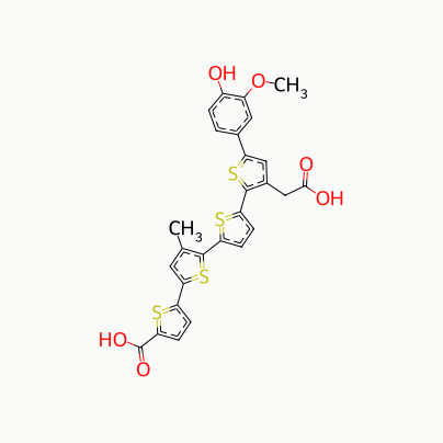 COc1cc(-c2cc(CC(=O)O)c(-c3ccc(-c4sc(-c5ccc(C(=O)O)s5)cc4C)s3)s2)ccc1O